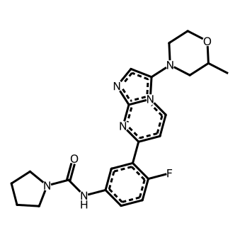 CC1CN(c2cnc3nc(-c4cc(NC(=O)N5CCCC5)ccc4F)ccn23)CCO1